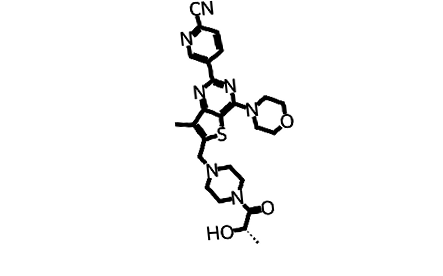 Cc1c(CN2CCN(C(=O)[C@H](C)O)CC2)sc2c(N3CCOCC3)nc(-c3ccc(C#N)nc3)nc12